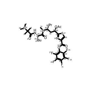 CC[C@H](C)[C@H](NC(=O)C(C)(C)N(C)C)C(=O)N(C)[C@H](C[C@@H](OC(C)=O)c1nc(C(=O)Oc2c(F)c(F)c(F)c(F)c2F)cs1)C(C)C